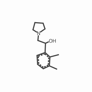 Cc1cccc(C(O)CN2CCCC2)c1C